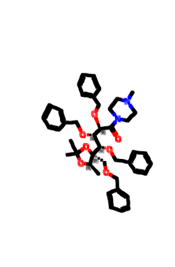 C[C@H]1OC(C)(C)O[C@@]1(COCc1ccccc1)[C@@H](OCc1ccccc1)[C@H](OCc1ccccc1)[C@@H](OCc1ccccc1)C(=O)N1CCN(C)CC1